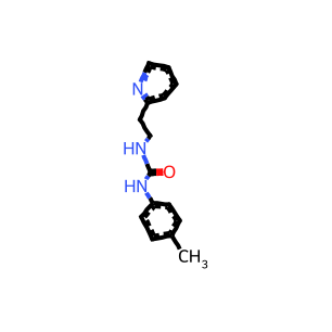 Cc1ccc(NC(=O)NCCc2ccccn2)cc1